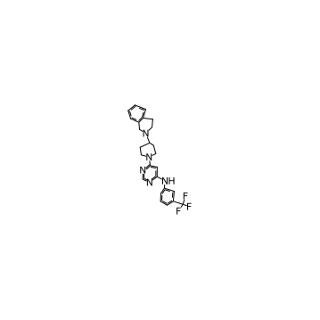 FC(F)(F)c1cccc(Nc2cc(N3CCC(N4CCc5ccccc5C4)CC3)ncn2)c1